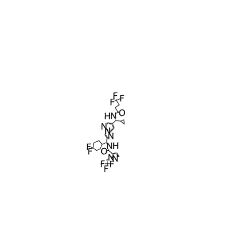 O=C(CCC(F)(F)F)N[C@@H](c1cnn2cc([C@@H](NC(=O)c3ccnn3CC(F)(F)F)C3CCC(F)(F)CC3)nc2c1)C1CC1